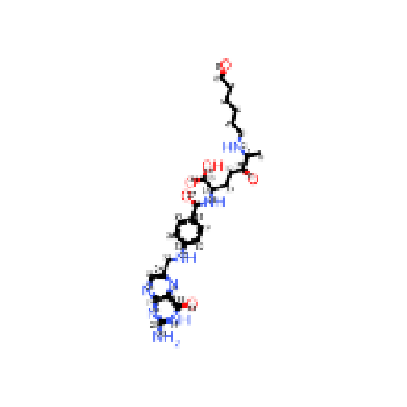 CC(NCCCCCC=O)C(=O)CCC(NC(=O)c1ccc(NCc2cnc3nc(N)[nH]c(=O)c3n2)cc1)C(=O)O